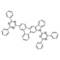 c1ccc(-c2nc(-c3ccccc3)nc(-c3ccc4c(c3)c3ccccc3c3cc5c(cc43)c3ccccc3n5-c3nc(-c4ccccc4)nc(-c4ccccc4)n3)n2)cc1